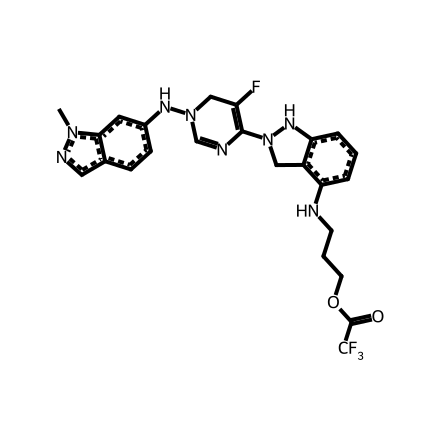 Cn1ncc2ccc(NN3C=NC(N4Cc5c(NCCCOC(=O)C(F)(F)F)cccc5N4)=C(F)C3)cc21